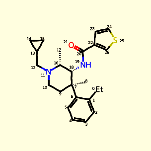 CCc1ccccc1[C@@]1(C)CCN(CC2CC2)[C@H](C)[C@@H]1NC(=O)c1ccsc1